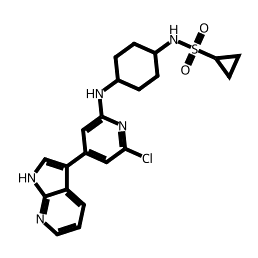 O=S(=O)(NC1CCC(Nc2cc(-c3c[nH]c4ncccc34)cc(Cl)n2)CC1)C1CC1